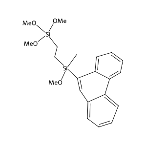 CO[Si](CC[Si](C)(OC)c1cc2ccccc2c2ccccc12)(OC)OC